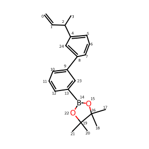 C=CC(C)c1cccc(-c2cccc(B3OC(C)(C)C(C)(C)O3)c2)c1